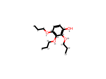 CCCOc1ccc(O)c(OCCC)c1OCCC